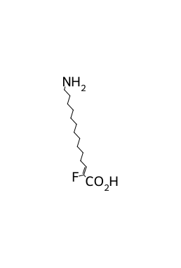 NCCCCCCCCCCCC=C(F)C(=O)O